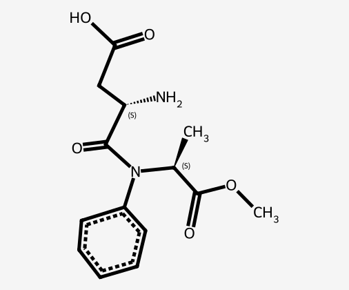 COC(=O)[C@H](C)N(C(=O)[C@@H](N)CC(=O)O)c1ccccc1